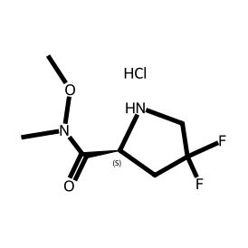 CON(C)C(=O)[C@@H]1CC(F)(F)CN1.Cl